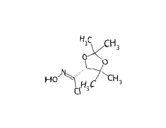 CC1(C)O[C@@H](C(Cl)=NO)C(C)(C)O1